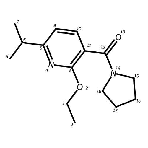 CCOc1nc(C(C)C)ccc1C(=O)N1CCCC1